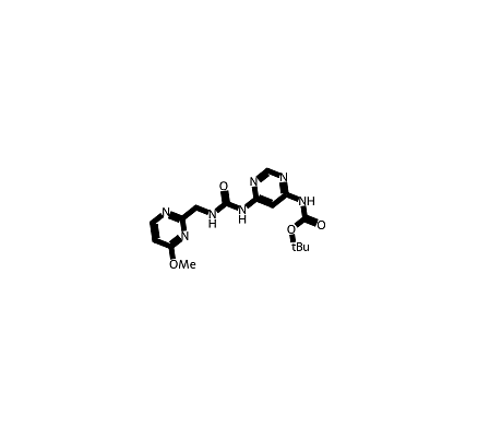 COc1ccnc(CNC(=O)Nc2cc(NC(=O)OC(C)(C)C)ncn2)n1